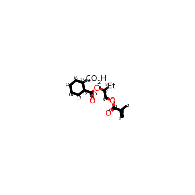 C=C(C)C(=O)OCC(CC)OC(=O)C1CCCCC1C(=O)O